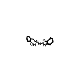 Oc1ccccc1CC/N=N/c1nc2ccccc2s1